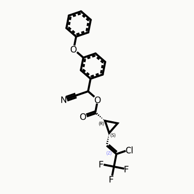 N#CC(OC(=O)[C@@H]1C[C@@H]1/C=C(\Cl)C(F)(F)F)c1cccc(Oc2ccccc2)c1